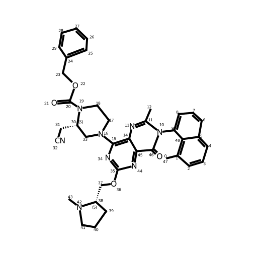 Cc1cccc2cccc(-n3c(C)nc4c(N5CCN(C(=O)OCc6ccccc6)[C@@H](CC#N)C5)nc(OC[C@@H]5CCCN5C)nc4c3=O)c12